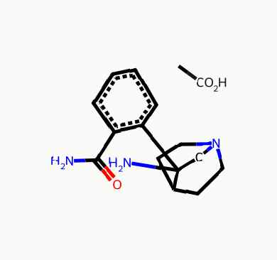 CC(=O)O.NC(=O)c1ccccc1C1(N)CN2CCC1CC2